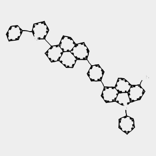 N#Cc1ccc2c3c1ccc1c(-c4ccc(-c5ccc6ccc7c(-c8cccc(-c9ccccc9)n8)ccc8ccc5c6c87)cc4)ccc(c13)n2-c1ccccc1